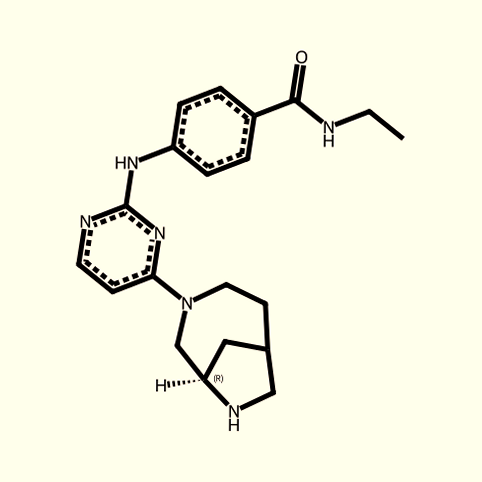 CCNC(=O)c1ccc(Nc2nccc(N3CCC4CN[C@H](C4)C3)n2)cc1